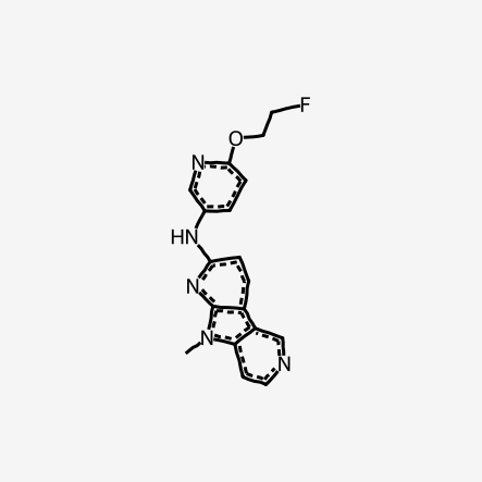 Cn1c2ccncc2c2ccc(Nc3ccc(OCCF)nc3)nc21